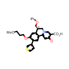 COCCCOc1cc2c(cc1-c1ccsc1)-c1cc(=O)c(C(=O)O)cn1C[C@@H]2COC(C)C